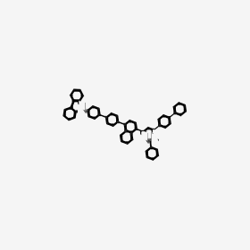 c1ccc(-c2ccc(-c3cc(-c4ccc(-c5ccc(-c6ccc(-n7c8ccccc8c8ccccc87)cc6)cc5)c5ccccc45)nc(-c4ccccc4)n3)cc2)cc1